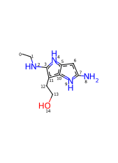 CCNc1[nH]c2cc(N)[nH]c2c1CCO